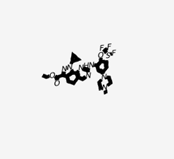 CCOC(=O)c1nn(C2CC2)c2c1CCc1cnc(Nc3cc(N4CCN(C)CC4)ccc3OC(F)(F)SF)nc1-2